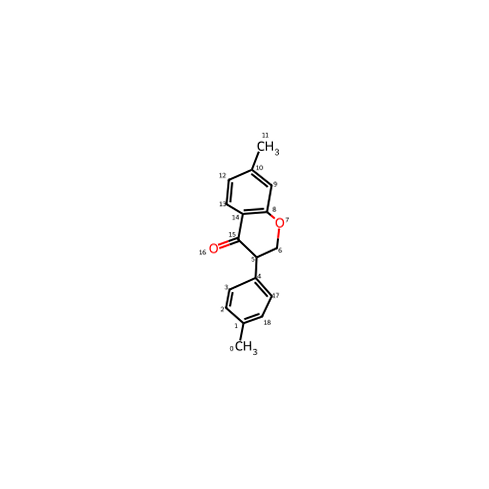 Cc1ccc(C2COc3cc(C)ccc3C2=O)cc1